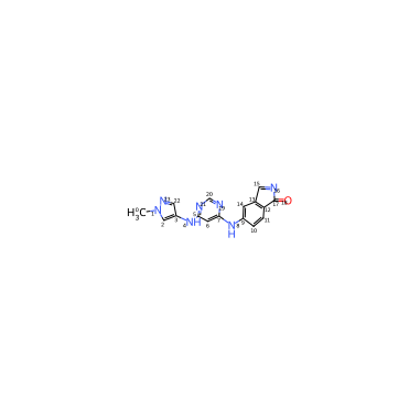 Cn1cc(Nc2cc(Nc3ccc4c(c3)C=NC4=O)ncn2)cn1